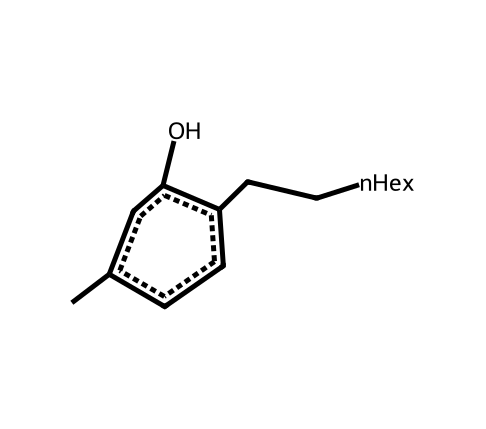 CCCCCCCCc1ccc(C)cc1O